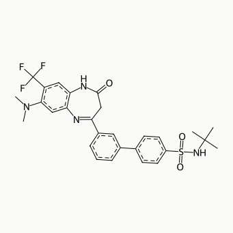 CN(C)c1cc2c(cc1C(F)(F)F)NC(=O)CC(c1cccc(-c3ccc(S(=O)(=O)NC(C)(C)C)cc3)c1)=N2